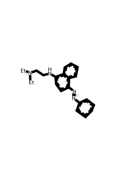 CCN(CC)CCNc1ccc(/N=N/c2ccccc2)c2ccccc12